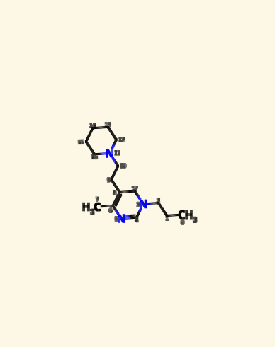 CCCN1C=NC(C)=C(CCN2CCCCC2)C1